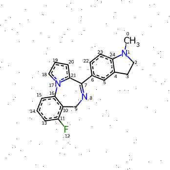 CN1CCc2cc(C3=NCc4c(F)cccc4-n4cccc43)ccc21